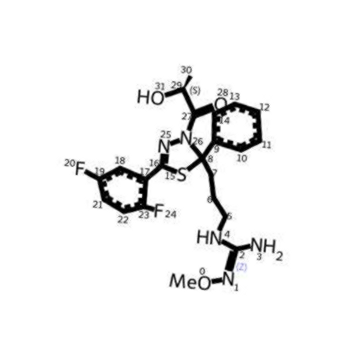 CO/N=C(/N)NCCCC1(c2ccccc2)SC(c2cc(F)ccc2F)=NN1C(=O)[C@H](C)O